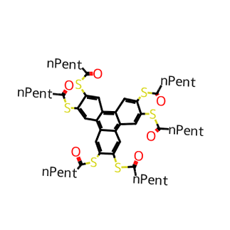 CCCCCC(=O)Sc1cc2c3cc(SC(=O)CCCCC)c(SC(=O)CCCCC)cc3c3cc(SC(=O)CCCCC)c(SC(=O)CCCCC)cc3c2cc1SC(=O)CCCCC